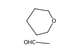 C1CCOCC1.CC=O